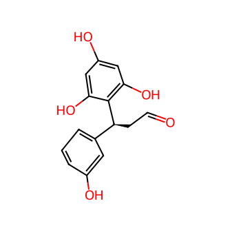 O=CC[C@@H](c1cccc(O)c1)c1c(O)cc(O)cc1O